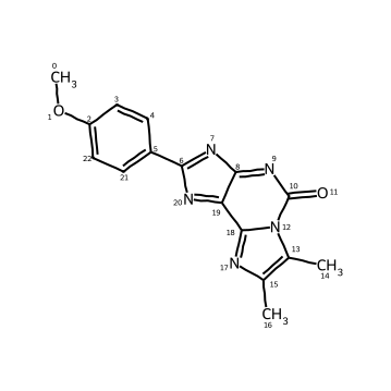 COc1ccc(C2=Nc3nc(=O)n4c(C)c(C)nc4c3=N2)cc1